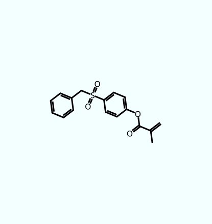 C=C(C)C(=O)Oc1ccc(S(=O)(=O)Cc2ccccc2)cc1